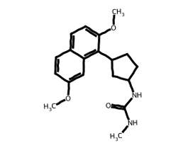 CNC(=O)NC1CCC(c2c(OC)ccc3ccc(OC)cc23)C1